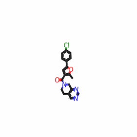 Cc1oc(-c2ccc(Cl)cc2)cc1C(=O)N1CCc2[c]ncnc2C1